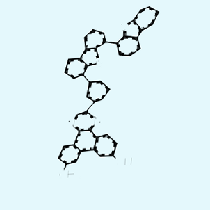 Cc1ccc2c(c1)c1cc(C)ccc1c1nc(-c3cccc(-c4cccc5c4sc4c(-c6cccc7c6sc6ccccc67)cccc45)c3)cnc21